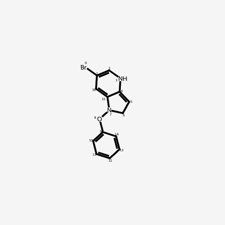 BrC1=CNC2=CCN(Oc3ccccc3)C2=C1